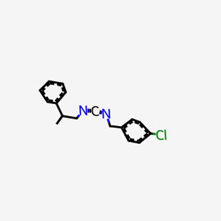 CC(CN=C=NCc1ccc(Cl)cc1)c1ccccc1